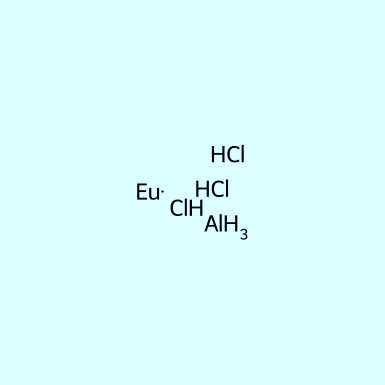 Cl.Cl.Cl.[AlH3].[Eu]